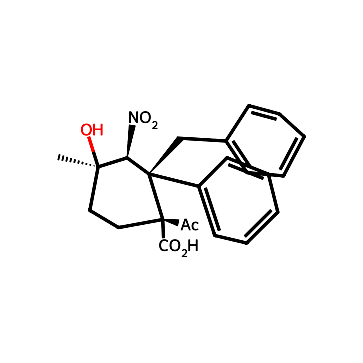 CC(=O)[C@@]1(C(=O)O)CC[C@@](C)(O)[C@@H]([N+](=O)[O-])[C@]1(Cc1ccccc1)c1ccccc1